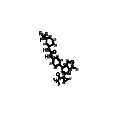 CN(C)C(=O)C1(c2cc(-c3ccc(NC(=O)Nc4cccc(C(F)(F)F)c4)cc3)c3cnn(C)c3n2)CC1